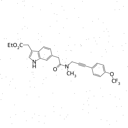 CCOC(=O)Cc1c[nH]c2cc(CC(=O)N(C)CC#Cc3ccc(OC(F)(F)F)cc3)ccc12